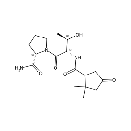 C[C@@H](O)[C@H](NC(=O)C1CC(=O)CC1(C)C)C(=O)N1CCC[C@H]1C(N)=O